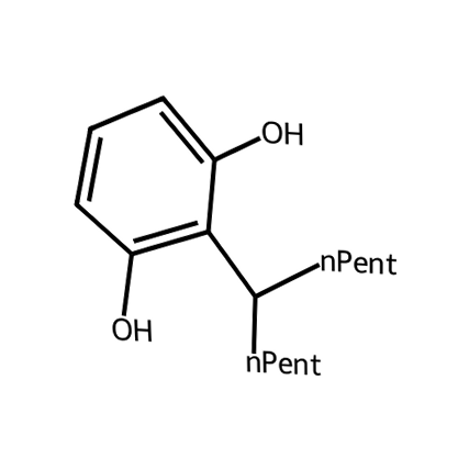 CCCCCC(CCCCC)c1c(O)cccc1O